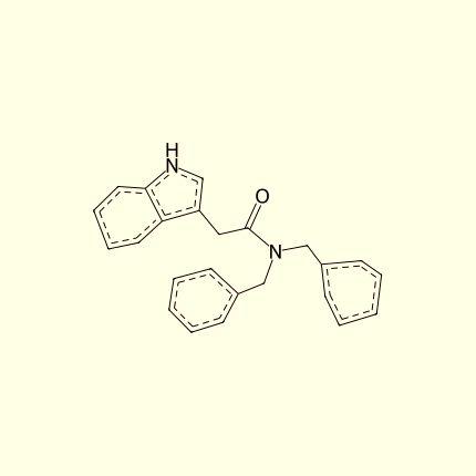 O=C(Cc1c[nH]c2ccccc12)N(Cc1ccccc1)Cc1ccccc1